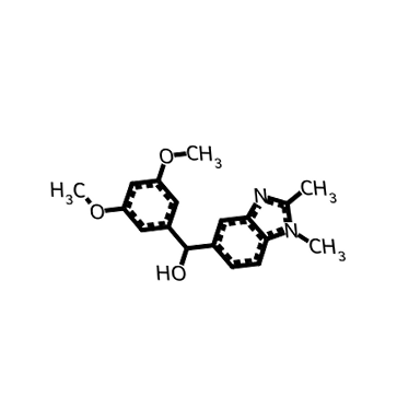 COc1cc(OC)cc(C(O)c2ccc3c(c2)nc(C)n3C)c1